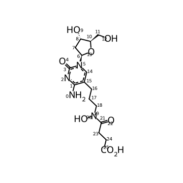 Nc1nc(=O)n([C@H]2C[C@H](O)[C@@H](CO)O2)cc1CCCN(O)C(=O)CCC(=O)O